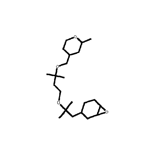 CC1CC(COC(C)(C)CCOC(C)(C)CC2CCC3OC3C2)CCO1